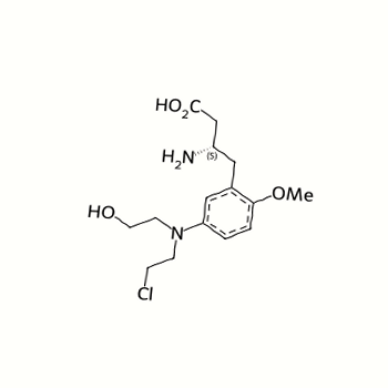 COc1ccc(N(CCO)CCCl)cc1C[C@H](N)CC(=O)O